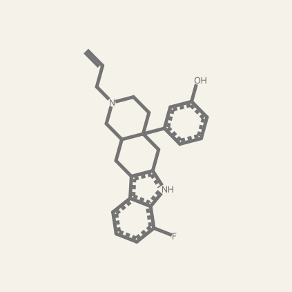 C=CCN1CCC2(c3cccc(O)c3)Cc3[nH]c4c(F)cccc4c3CC2C1